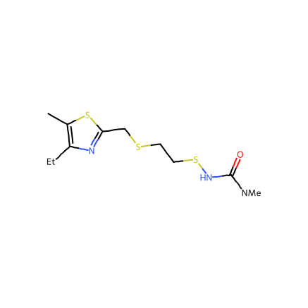 CCc1nc(CSCCSNC(=O)NC)sc1C